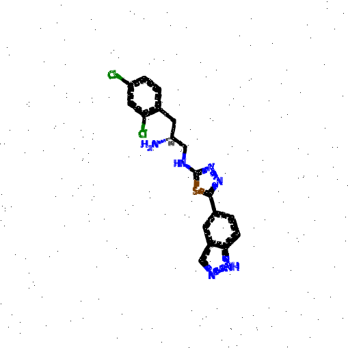 N[C@@H](CNc1nnc(-c2ccc3[nH]ncc3c2)s1)Cc1ccc(Cl)cc1Cl